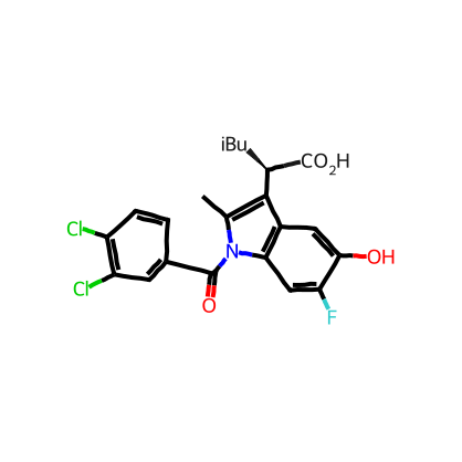 CCC(C)[C@@H](C(=O)O)c1c(C)n(C(=O)c2ccc(Cl)c(Cl)c2)c2cc(F)c(O)cc12